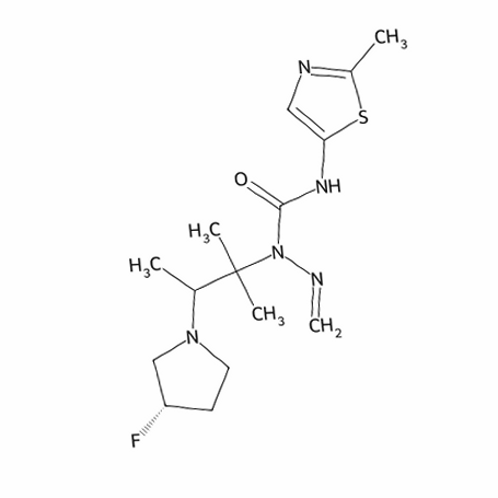 C=NN(C(=O)Nc1cnc(C)s1)C(C)(C)C(C)N1CC[C@H](F)C1